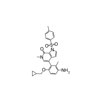 Cc1ccc(S(=O)(=O)n2ccc3c(-c4c(OCC5CC5)ccc(N)c4C)cn(C)c(=O)c32)cc1